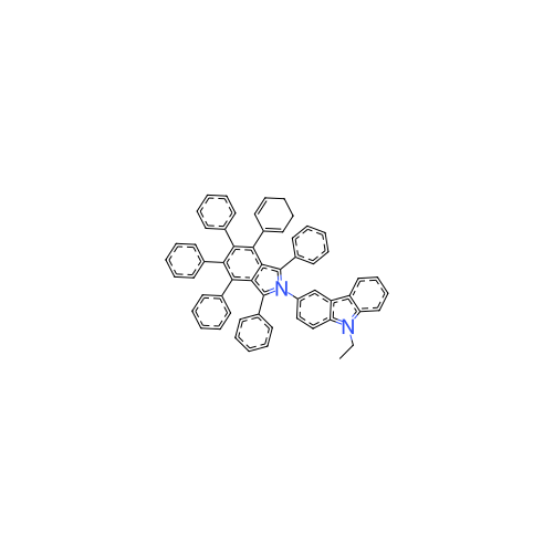 CCn1c2ccccc2c2cc(-n3c(-c4ccccc4)c4c(C5=CCCC=C5)c(-c5ccccc5)c(-c5ccccc5)c(-c5ccccc5)c4c3-c3ccccc3)ccc21